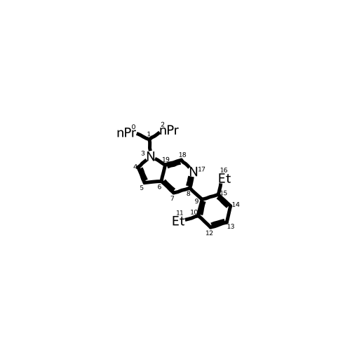 CCCC(CCC)n1ccc2cc(-c3c(CC)cccc3CC)ncc21